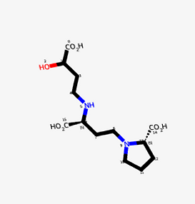 O=C(O)C(O)CCN[C@@H](CCN1CCC[C@H]1C(=O)O)C(=O)O